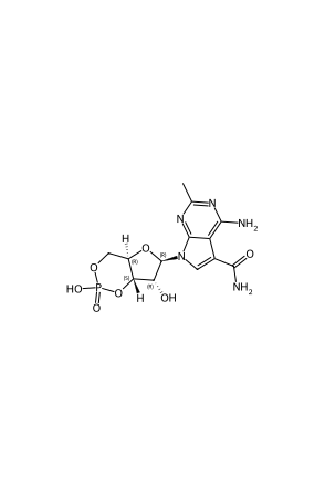 Cc1nc(N)c2c(C(N)=O)cn([C@@H]3O[C@@H]4COP(=O)(O)O[C@H]4[C@H]3O)c2n1